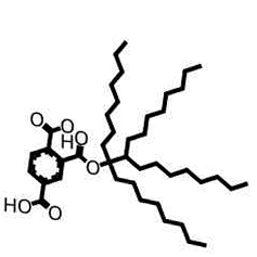 CCCCCCCCC(CCCCCCCC)C(CCCCCCCC)(CCCCCCCC)OC(=O)c1cc(C(=O)O)ccc1C(=O)O